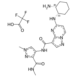 CNC(=O)c1nn(C)cc1NC(=O)c1cnn2ccc(N[C@H]3CCCC[C@H]3N)nc12.O=C(O)C(F)(F)F